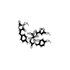 Cc1ccc(CNC(=O)[C@H](Cc2ccc(C=C3SC(=O)N(C)C3=O)cc2)N[C@](C=O)(NC(=O)c2cc(C)on2)[C@@H](C)O)cc1